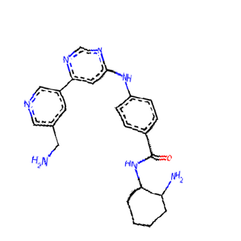 NCc1cncc(-c2cc(Nc3ccc(C(=O)NC4CCCCC4N)cc3)ncn2)c1